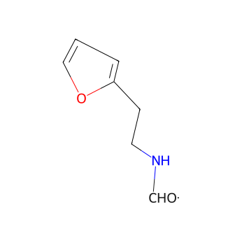 O=[C]NCCc1ccco1